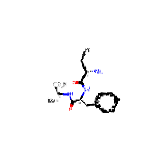 CC[C@H](C)[C@H](NC(=O)[C@H](Cc1ccccc1)NC(=O)[C@@H](N)CC(C)C)C(=O)O